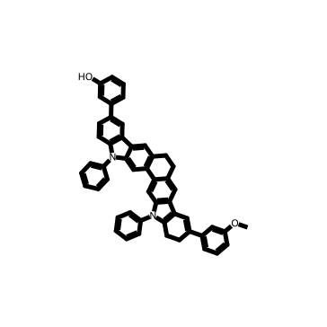 COc1cccc(C2=Cc3c(n(-c4ccccc4)c4cc5c(cc34)CCc3cc4c6cc(-c7cccc(O)c7)ccc6n(-c6ccccc6)c4cc3-5)CC2)c1